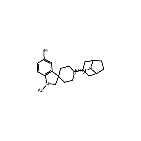 CCOC(=O)N1C2CCC1CC(N1CCC3(CC1)CN(C(C)=O)c1ccc(C(C)C)cc13)C2